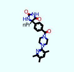 CCC[C@@]1(c2ccc(C(=O)N3CCN(c4nc(C)c(C)cc4C)CC3)cc2)NC(=O)NC1=O